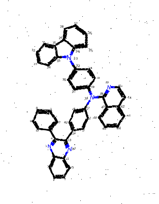 c1ccc(-c2nc3ccccc3nc2-c2ccc(N(c3ccc(-n4c5ccccc5c5ccccc54)cc3)c3nccc4ccccc34)cc2)cc1